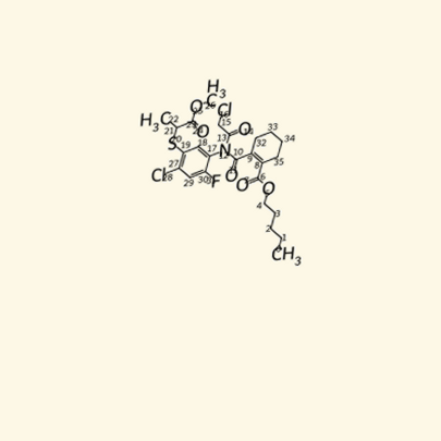 CCCCCOC(=O)C1=C(C(=O)N(C(=O)CCl)c2cc(SC(C)C(=O)OC)c(Cl)cc2F)CCCC1